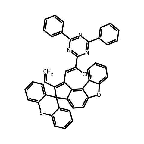 C=CC1=C(/C=C(\C)c2nc(-c3ccccc3)nc(-c3ccccc3)n2)c2c(ccc3oc4ccccc4c23)C12c1ccccc1Sc1ccccc12